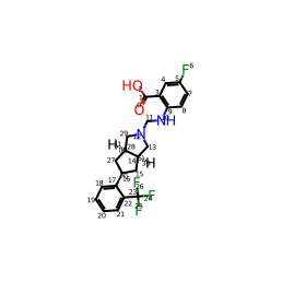 O=C(O)c1cc(F)ccc1NCN1C[C@H]2C[C@@H](c3ccccc3C(F)(F)F)C[C@H]2C1